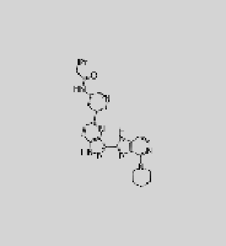 CC(C)CC(=O)Nc1cncc(-c2ccc3[nH]nc(-c4nc5c(N6CCCCC6)nccc5[nH]4)c3n2)c1